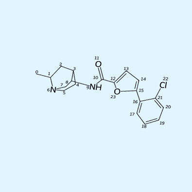 CC1CC2CCN1CC2NC(=O)c1ccc(-c2ccccc2Cl)o1